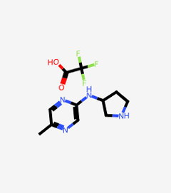 Cc1cnc(NC2CCNC2)cn1.O=C(O)C(F)(F)F